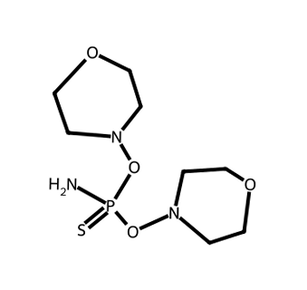 NP(=S)(ON1CCOCC1)ON1CCOCC1